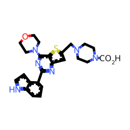 O=C(O)N1CCN(Cc2cc3nc(-c4cccc5[nH]ccc45)nc(N4CCOCC4)c3s2)CC1